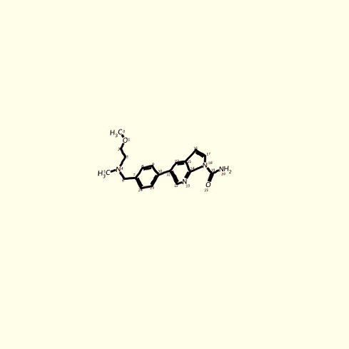 COCCN(C)Cc1ccc(-c2cnc3c([c]cn3C(N)=O)c2)cc1